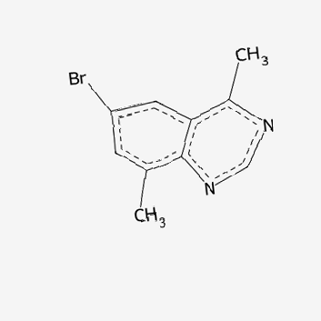 Cc1ncnc2c(C)cc(Br)cc12